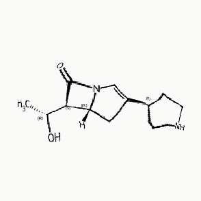 C[C@@H](O)[C@H]1C(=O)N2C=C([C@H]3CCNC3)C[C@H]12